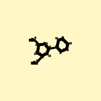 CCCCc1nc(CCCC)nc(-c2ccccc2)n1